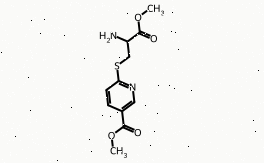 COC(=O)c1ccc(SCC(N)C(=O)OC)nc1